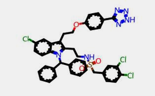 O=S(=O)(Cc1ccc(Cl)c(Cl)c1)NCCc1c(CCOc2ccc(-c3nn[nH]n3)cc2)c2cc(Cl)ccc2n1C(c1ccccc1)c1ccccc1